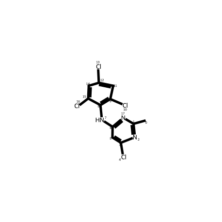 Cc1nc(Cl)cc(Nc2c(Cl)cc(Cl)cc2Cl)n1